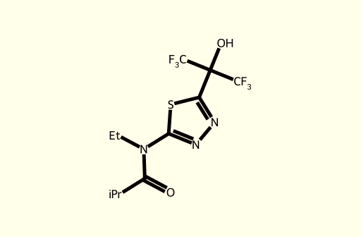 CCN(C(=O)C(C)C)c1nnc(C(O)(C(F)(F)F)C(F)(F)F)s1